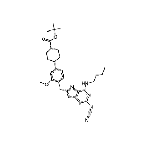 CCCCNc1nc(N=[N+]=[N-])nc2cn(Cc3ccc(C4CCN(C(=O)OC(C)(C)C)CC4)cc3OC)nc12